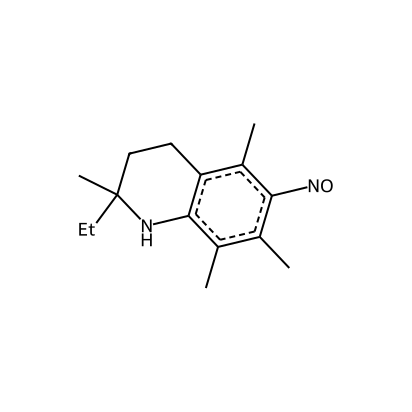 CCC1(C)CCc2c(C)c(N=O)c(C)c(C)c2N1